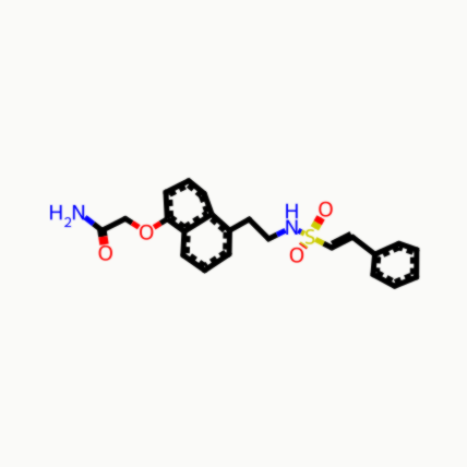 NC(=O)COc1cccc2c(CCNS(=O)(=O)/C=C/c3ccccc3)cccc12